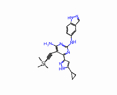 C[Si](C)(C)C#Cc1c(N)nc(Nc2ccc3[nH]ncc3c2)nc1-c1cc(C2CC2)[nH]n1